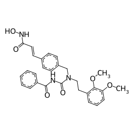 COc1cccc(CCN(Cc2ccc(/C=C/C(=O)NO)cc2)C(=O)NC(=O)c2ccccc2)c1OC